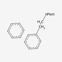 CCCCCC.Cc1ccccc1.c1ccccc1